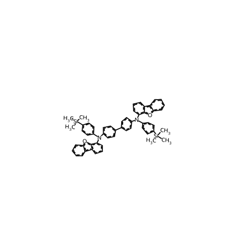 C[Si](C)(C)c1ccc(N(c2ccc(-c3ccc(N(c4ccc([Si](C)(C)C)cc4)c4cccc5c4oc4ccccc45)cc3)cc2)c2cccc3c2oc2ccccc23)cc1